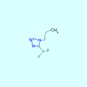 CCCn1cnnc1C(F)F